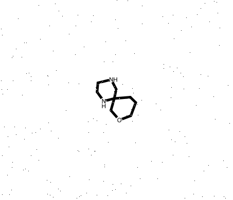 C1COCC2(C1)CNCCN2